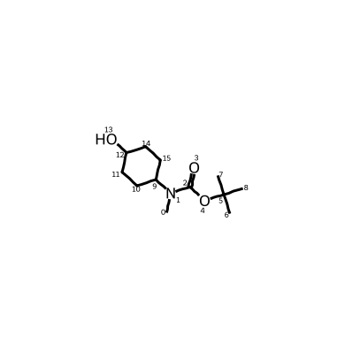 CN(C(=O)OC(C)(C)C)C1CCC(O)CC1